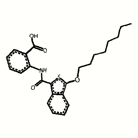 CCCCCCCCOc1sc(C(=O)Nc2ccccc2C(=O)O)c2ccccc12